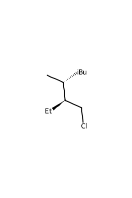 CCC(C)[C@@H](C)[C@H](CC)CCl